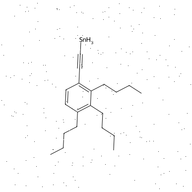 CCCCc1ccc(C#[C][SnH3])c(CCCC)c1CCCC